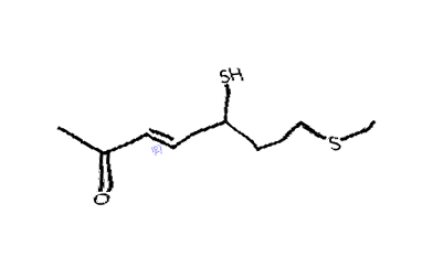 CSCCC(S)/C=C/C(C)=O